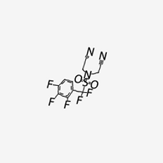 N#CCN(CC#N)S(=O)(=O)C(F)(F)c1ccc(F)c(F)c1F